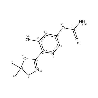 CC1(C)CN=C(c2ncc(OC(N)=O)cc2Cl)O1